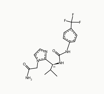 CC(C)[C@H](NC(=O)Nc1ccc(C(F)(F)F)cc1)c1nccn1CC(N)=O